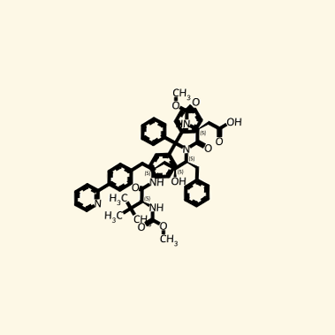 COC(=O)N[C@@H](CC(=O)O)C(=O)N([C@@H](Cc1ccccc1)[C@@H](O)C[C@H](Cc1ccc(-c2ccccn2)cc1)NC(=O)[C@@H](NC(=O)OC)C(C)(C)C)C(c1ccccc1)(c1ccccc1)c1ccccc1